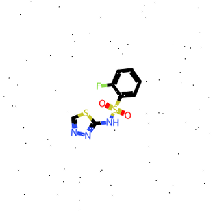 O=S(=O)(Nc1nncs1)c1ccccc1F